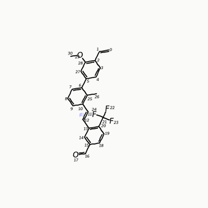 C=Cc1ccc(-c2cccc(/C=C/c3cc(C=O)ccc3C(F)(F)F)c2C)cc1OC